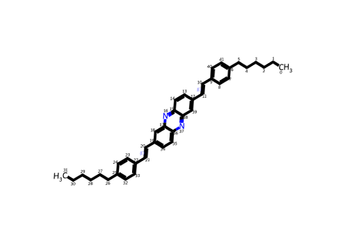 CCCCCCc1ccc(/C=C/c2ccc3nc4cc(/C=C/c5ccc(CCCCCC)cc5)ccc4nc3c2)cc1